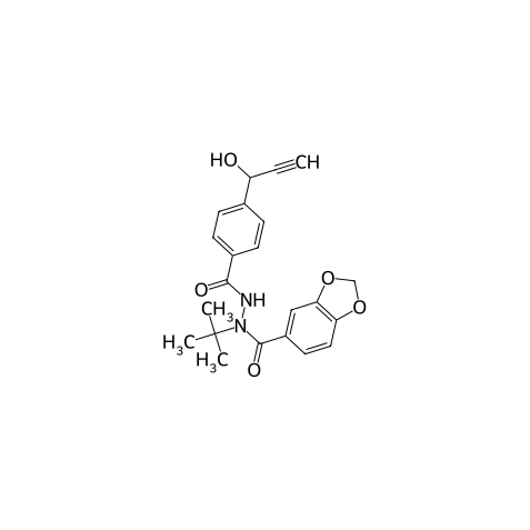 C#CC(O)c1ccc(C(=O)NN(C(=O)c2ccc3c(c2)OCO3)C(C)(C)C)cc1